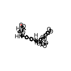 COC(=O)N[C@H](C(=O)N1CC(OC(=O)N2Cc3cc4c(cc3C2)OCO4)CC1c1ncc(-c2ccc(-c3ccc(-c4c[nH]c([C@@H]5CCCN5C(=O)[C@@H](NC(=O)OC)C(C)C)n4)cc3)cc2)[nH]1)C(C)C